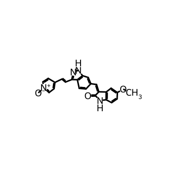 COc1ccc2c(c1)C(=Cc1ccc3c(C=Cc4cc[n+]([O-])cc4)n[nH]c3c1)C(=O)N2